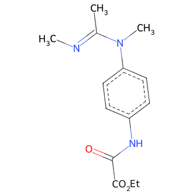 CCOC(=O)C(=O)Nc1ccc(N(C)C(C)=NC)cc1